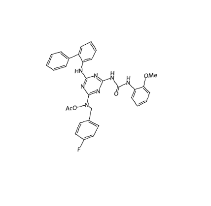 COc1ccccc1NC(=O)Nc1nc(Nc2ccccc2-c2ccccc2)nc(N(Cc2ccc(F)cc2)OC(C)=O)n1